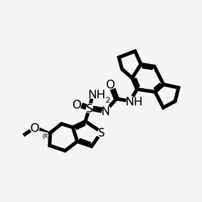 CO[C@@H]1CCc2csc(S(N)(=O)=NC(=O)Nc3c4c(cc5c3CCC5)CCC4)c2C1